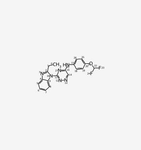 CCc1nc2ccccc2n1-c1nncc(Nc2ccc(OC(F)F)cc2)n1